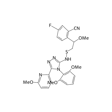 COc1cccc(-c2nnc(NSCC(OC)c3ccc(F)cc3C#N)n2-c2c(OC)cccc2OC)n1